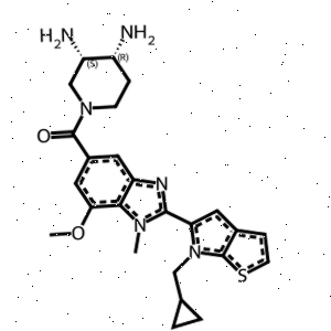 COc1cc(C(=O)N2CC[C@@H](N)[C@@H](N)C2)cc2nc(-c3cc4ccsc4n3CC3CC3)n(C)c12